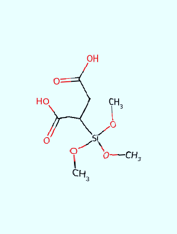 CO[Si](OC)(OC)C(CC(=O)O)C(=O)O